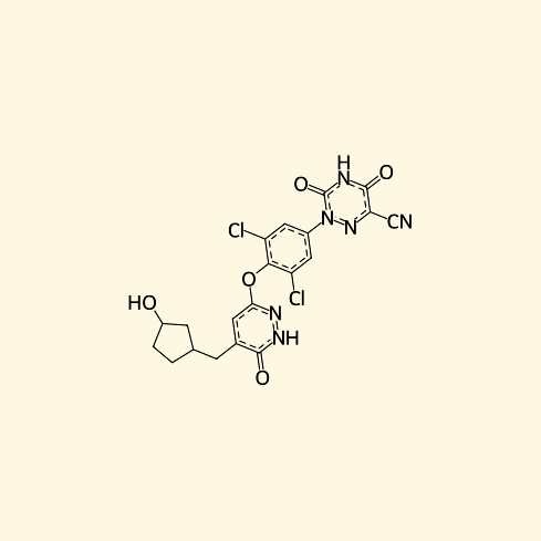 N#Cc1nn(-c2cc(Cl)c(Oc3cc(CC4CCC(O)C4)c(=O)[nH]n3)c(Cl)c2)c(=O)[nH]c1=O